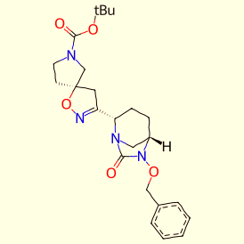 CC(C)(C)OC(=O)N1CC[C@@]2(CC([C@@H]3CC[C@H]4CN3C(=O)N4OCc3ccccc3)=NO2)C1